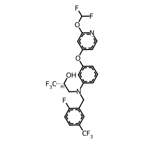 O[C@H](CN(Cc1cc(C(F)(F)F)ccc1F)c1cccc(Oc2ccnc(OC(F)F)c2)c1)C(F)(F)F